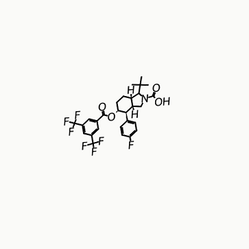 CC(C)(C)C1[C@H]2CC[C@@H](OC(=O)c3cc(C(F)(F)F)cc(C(F)(F)F)c3)[C@H](c3ccc(F)cc3)[C@H]2CN1C(=O)O